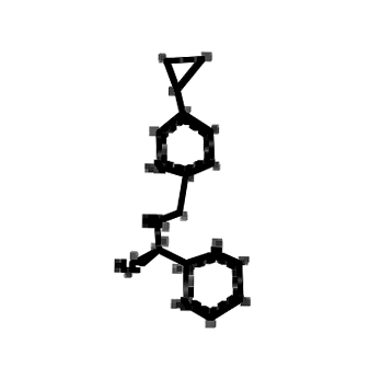 C[C@@H](NCc1ccc(C2CC2)cn1)c1ncccn1